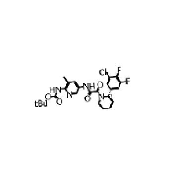 Cc1cc(NC(=O)C(=O)N2CCCC[C@H]2c2cc(F)c(F)c(Cl)c2)cnc1NC(=O)OC(C)(C)C